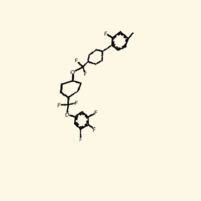 Cc1ccc(C2CCC(C(F)(F)OC3CCC(C(F)(F)Oc4cc(F)c(F)c(F)c4)CC3)CC2)c(F)c1